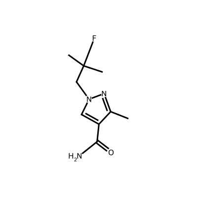 Cc1nn(CC(C)(C)F)cc1C(N)=O